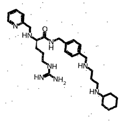 N=C(N)NCCC[C@@H](NCc1ccccn1)C(=O)NCc1ccc(CNCCCNC2CCCCC2)cc1